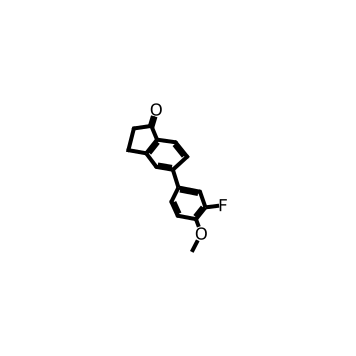 COc1ccc(-c2ccc3c(c2)CCC3=O)cc1F